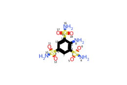 Nc1c(S(N)(=O)=O)cc(S(N)(=O)=O)cc1S(N)(=O)=O